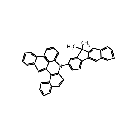 CC1(C)c2cc(N(c3ccccc3)c3ccc4ccccc4c3-c3ccc4ccccc4c3)ccc2-c2cc3ccccc3cc21